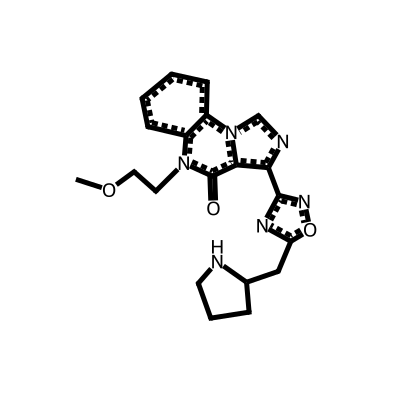 COCCn1c(=O)c2c(-c3noc(CC4CCCN4)n3)ncn2c2ccccc21